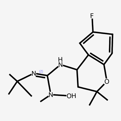 CN(O)/C(=N\C(C)(C)C)NC1CC(C)(C)Oc2ccc(F)cc21